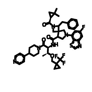 C[C@@H](OCC1(C(F)(F)F)CC1)[C@H](NC(=O)C1CN(c2cc(F)cc3ncsc23)CC12CN(C(=O)[C@H]1CC1(C)C)C2Cc1ccccc1)C(=O)N1CCC(c2ccncc2)CC1